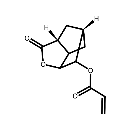 C=CC(=O)OC1C2OC(=O)[C@@H]3C[C@@H]1CC23